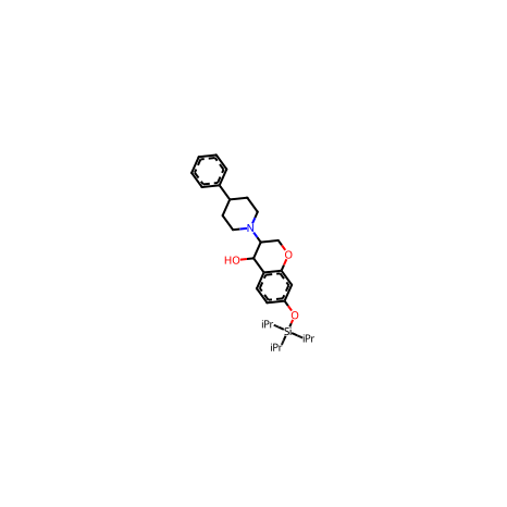 CC(C)[Si](Oc1ccc2c(c1)OCC(N1CCC(c3ccccc3)CC1)C2O)(C(C)C)C(C)C